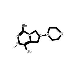 C[C@@H]1N=C(C(C)(C)C)N2C[C@@H](N3CCOCC3)CC2=C1C(C)(C)C